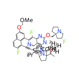 [2H]C([2H])([2H])OC(C)C12CCC(CN(c3nc(OC[C@@]45CCCN4C[C@H](F)C5)nc4c(F)c(-c5cc(OCOC)cc6ccc(F)c(C#C[Si](C(C)C)(C(C)C)C(C)C)c56)ncc34)C1C(C)(C)C)N2C(=O)O